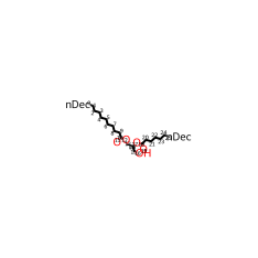 CCCCCCCCCCCCCCCCCCCC(=O)OC[C@H](CO)OC(=O)CCCCCCCCCCCCCCC